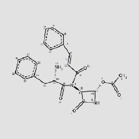 CC(=O)O[C@@H]1NC(=O)[C@H]1N(C(=O)/C=C/c1ccccc1)C(=O)[C@@H](N)Cc1ccccc1